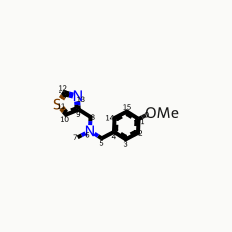 COc1ccc(CN(C)Cc2cs[c]n2)cc1